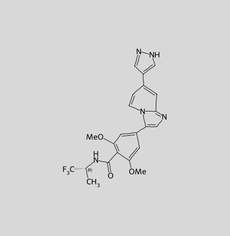 COc1cc(-c2cnc3cc(-c4cn[nH]c4)ccn23)cc(OC)c1C(=O)N[C@H](C)C(F)(F)F